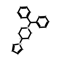 c1ccc([C](c2ccccc2)N2CCC(n3cccc3)CC2)cc1